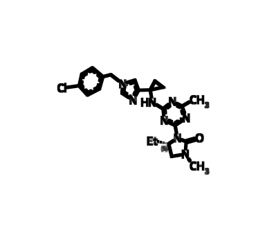 CC[C@H]1CN(C)C(=O)N1c1nc(C)nc(NC2(c3cn(Cc4ccc(Cl)cc4)cn3)CC2)n1